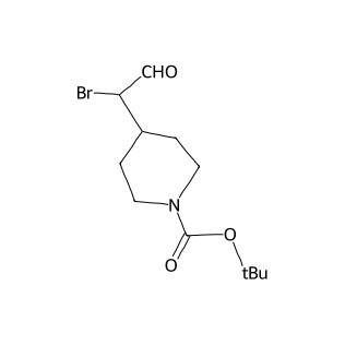 CC(C)(C)OC(=O)N1CCC(C(Br)C=O)CC1